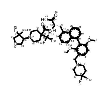 COc1ccc(CN2CCC(F)(F)CC2)c(OC)c1-c1cccc2c(C[C@H](NC(=O)C3(C(F)(F)F)CCN(C4COCC4(F)F)CC3)C(=O)O)cccc12